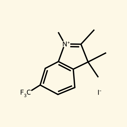 CC1=[N+](C)c2cc(C(F)(F)F)ccc2C1(C)C.[I-]